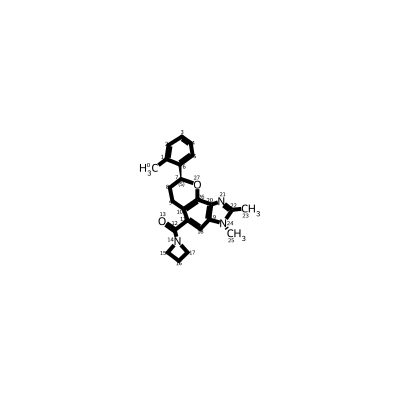 Cc1ccccc1[C@@H]1CCc2c(C(=O)N3CCC3)cc3c(nc(C)n3C)c2O1